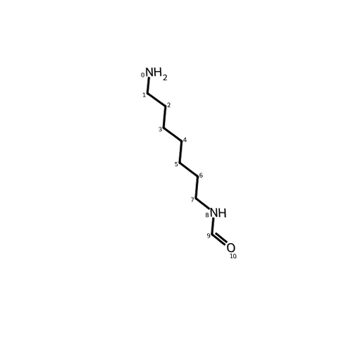 NCCCCCCCNC=O